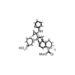 COC(=O)N1c2ccc3c(nc(C4(Nc5ccccn5)CC4)n3[C@@H]3CCC[C@@H](C(=O)O)C3)c2CC[C@@H]1C